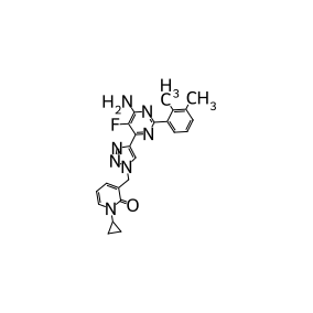 Cc1cccc(-c2nc(N)c(F)c(-c3cn(Cc4cccn(C5CC5)c4=O)nn3)n2)c1C